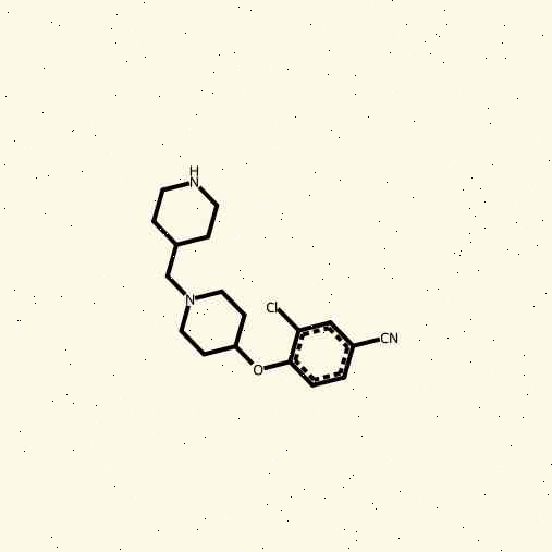 N#Cc1ccc(OC2CCN(CC3CCNCC3)CC2)c(Cl)c1